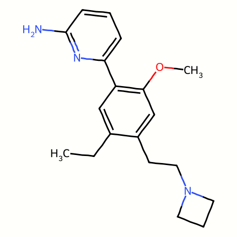 CCc1cc(-c2cccc(N)n2)c(OC)cc1CCN1CCC1